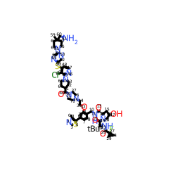 Cc1ncsc1-c1ccc(CNC(=O)[C@@H]2C[C@@H](O)CN2C(=O)[C@@H](NC(=O)C2(F)CC2)C(C)(C)C)c(OCCN2CCN(C(=O)C3CCN(c4nccc(Sc5cnc(N6CCC(C)(CN)CC6)cn5)c4Cl)CC3)CC2)c1